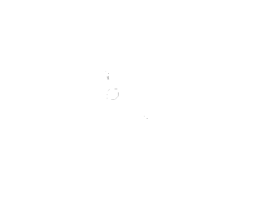 CC(C)(C)OC(=O)NC1CCC(Sc2ccc(C#N)cn2)CC1